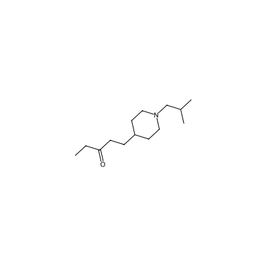 CCC(=O)CCC1CCN(CC(C)C)CC1